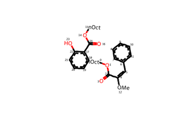 CCCCCCCCOC(=O)C(=Cc1ccccc1)OC.CCCCCCCCOC(=O)c1ccccc1O